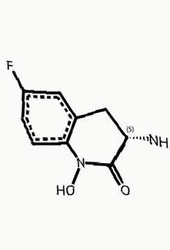 N[C@H]1Cc2cc(F)ccc2N(O)C1=O